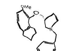 COc1ccc2c(c1O[C@@H]1CCN(Cc3ccccc3)C1)CCC2